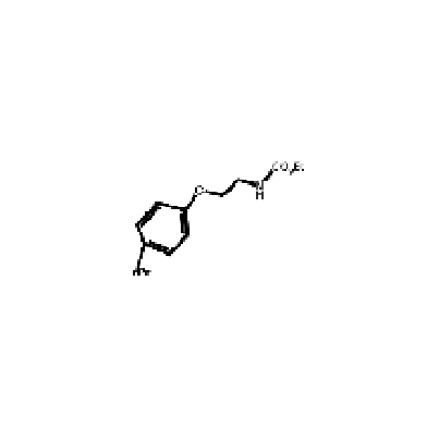 CCCc1ccc(OCCNC(=O)OCC)cc1